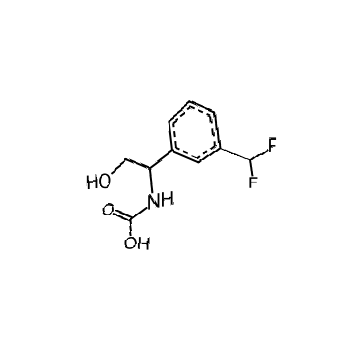 O=C(O)NC(CO)c1cccc(C(F)F)c1